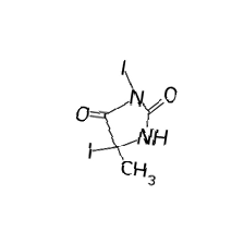 CC1(I)NC(=O)N(I)C1=O